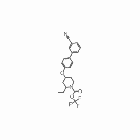 CCC1CC(Oc2ccc(-c3cccc(C#N)c3)cc2)CCN1C(=O)OC(F)(F)F